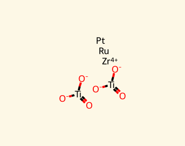 [O]=[Ti]([O-])[O-].[O]=[Ti]([O-])[O-].[Pt].[Ru].[Zr+4]